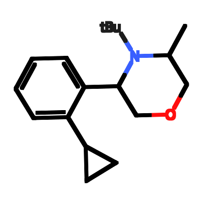 CC1COCC(c2ccccc2C2CC2)N1C(C)(C)C